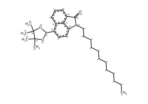 CCCCCCCCCCCCN1C(=O)c2cccc3c(B4OC(C)(C)C(C)(C)O4)ccc1c23